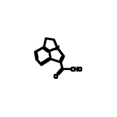 O=CC(=O)c1cn2c3c(cccc13)CC2